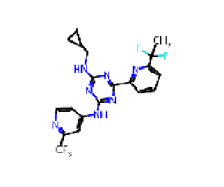 CC(F)(F)c1cccc(-c2nc(NCC3CC3)nc(Nc3ccnc(C(F)(F)F)c3)n2)n1